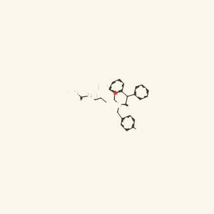 NC(=O)NCCC[C@H](C(N)=O)N(Cc1ccc(O)cc1)C(=O)C(c1ccccc1)c1ccccc1